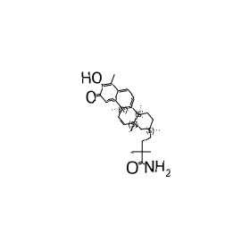 CC1=C(O)C(=O)C=C2C1=CC=C1[C@@]2(C)CC[C@@]2(C)C[C@](C)(CCC(C)(C)C(N)=O)CC[C@]12C